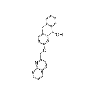 OC1c2ccccc2Cc2ccc(OCc3ccc4ccccc4n3)cc21